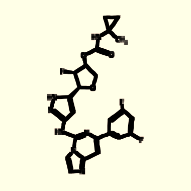 CC1(NC(=O)O[C@H]2CO[C@@H](c3cc(Nc4nc(-c5cc(F)cc(F)c5)cc5nccn45)n[nH]3)[C@H]2F)CC1